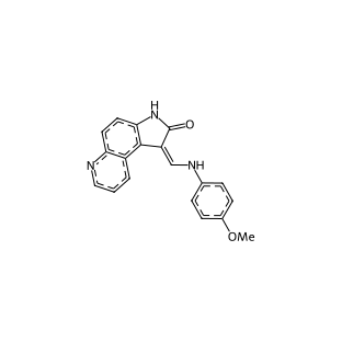 COc1ccc(N/C=C2\C(=O)Nc3ccc4ncccc4c32)cc1